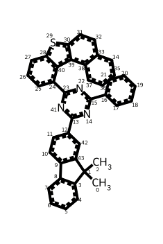 CC1(C)c2ccccc2-c2ccc(-c3nc(-c4ccccc4)nc(-c4cccc5sc6ccc7ccccc7c6c45)n3)cc21